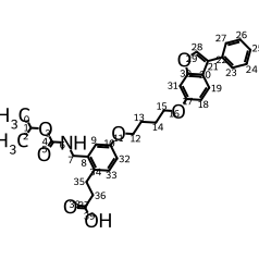 CC(C)OC(=O)NCc1cc(OCCCCOc2ccc3c(-c4ccccc4)coc3c2)ccc1CCC(=O)O